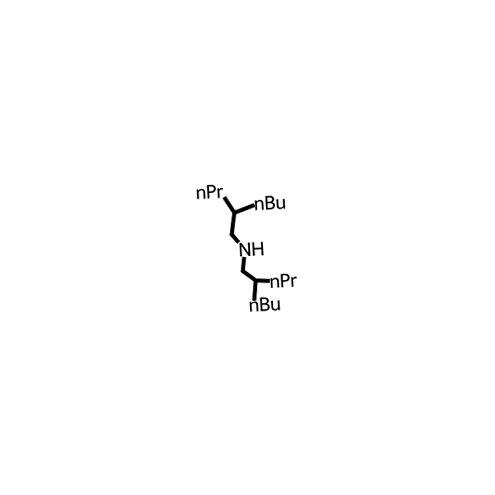 CCCCC(CCC)CNCC(CCC)CCCC